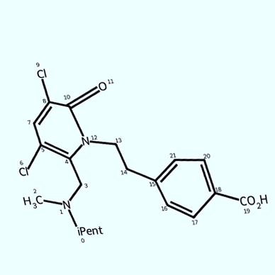 CCCC(C)N(C)Cc1c(Cl)cc(Cl)c(=O)n1CCc1ccc(C(=O)O)cc1